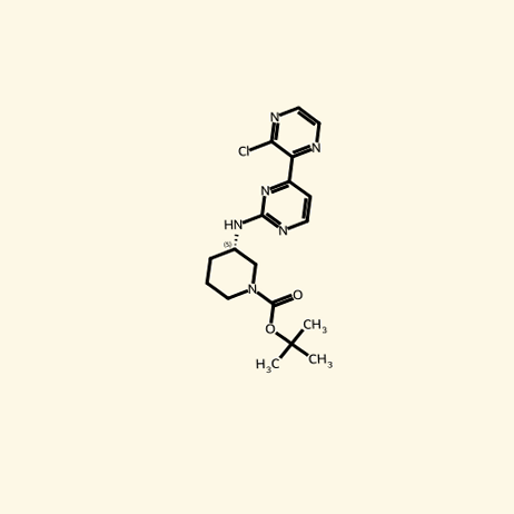 CC(C)(C)OC(=O)N1CCC[C@H](Nc2nccc(-c3nccnc3Cl)n2)C1